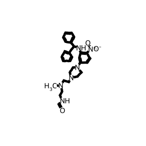 CN(CCNC=O)CCN1CCN(c2ccc([N+](=O)[O-])c(NC(c3ccccc3)c3ccccc3)c2)CC1